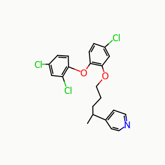 CC(CCCOc1cc(Cl)ccc1Oc1ccc(Cl)cc1Cl)c1ccncc1